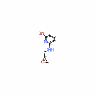 Brc1cccc(NCC2CO2)n1